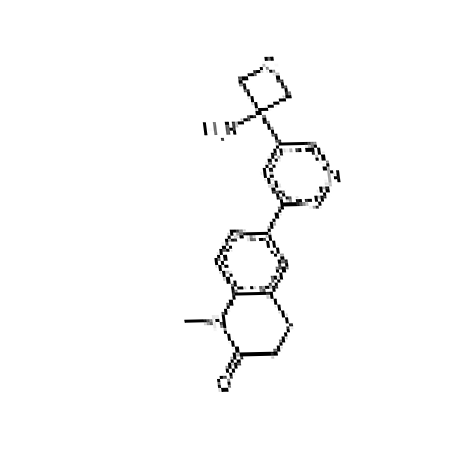 CN1C(=O)CCc2cc(-c3cncc(C4(N)COC4)c3)ccc21